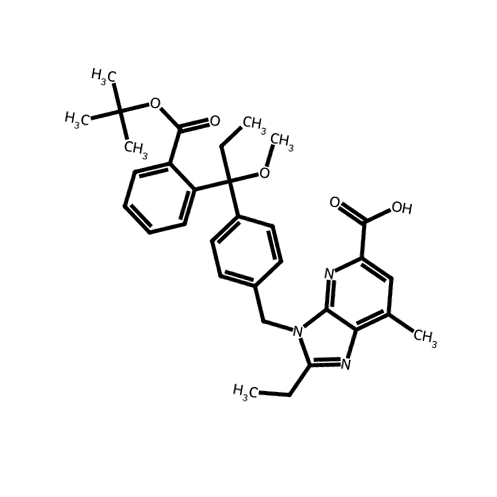 CCc1nc2c(C)cc(C(=O)O)nc2n1Cc1ccc(C(CC)(OC)c2ccccc2C(=O)OC(C)(C)C)cc1